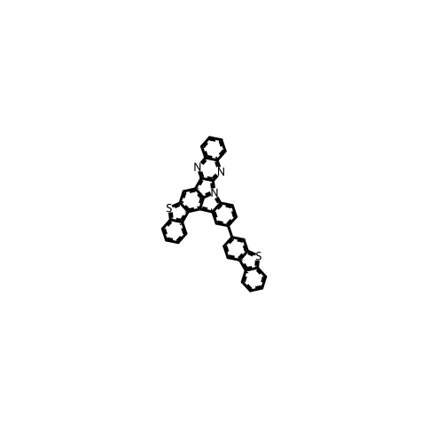 c1ccc2nc3c(nc2c1)c1cc2sc4ccccc4c2c2c4cc(-c5ccc6c(c5)sc5ccccc56)ccc4n3c12